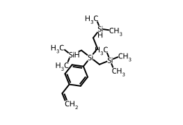 C=Cc1ccc([Si](CC[SiH](C)C)(C[SiH](C)C)C[Si](C)(C)C)cc1